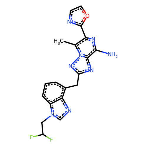 Cc1c(-c2ncco2)nc(N)c2nc(Cc3cccc4c3ncn4CC(F)F)nn12